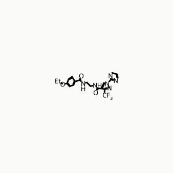 CCOc1ccc(C(=O)NCCNC(=O)c2cn(-c3ncccn3)nc2C(F)(F)F)cc1